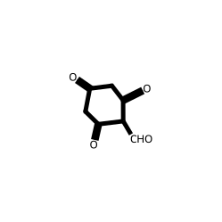 O=CC1C(=O)CC(=O)CC1=O